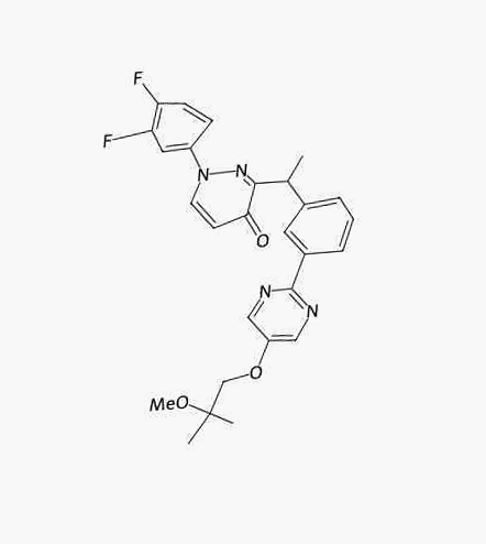 COC(C)(C)COc1cnc(-c2cccc(C(C)c3nn(-c4ccc(F)c(F)c4)ccc3=O)c2)nc1